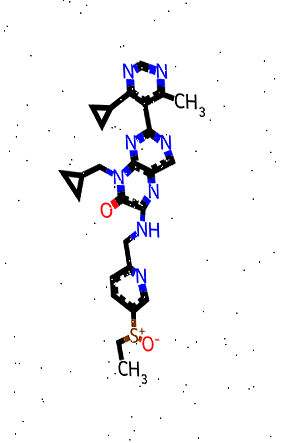 CC[S+]([O-])c1ccc(CNc2nc3cnc(-c4c(C)ncnc4C4CC4)nc3n(CC3CC3)c2=O)nc1